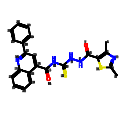 Cc1nc(C)c(C(=O)NNC(=S)NC(=O)c2cc(-c3ccccc3)nc3ccccc23)s1